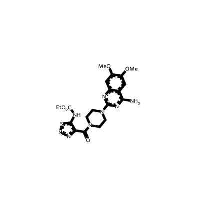 CCOC(=O)Nc1snnc1C(=O)N1CCN(c2nc(N)c3cc(OC)c(OC)cc3n2)CC1